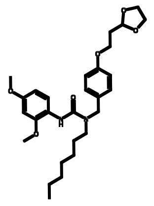 CCCCCCCN(Cc1ccc(OCCC2OCCO2)cc1)C(=O)Nc1ccc(OC)cc1OC